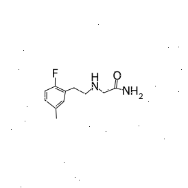 Cc1ccc(F)c(CCNCC(N)=O)c1